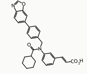 O=C(O)C=Cc1cccc(N(Cc2ccc(-c3ccc4ncoc4c3)cc2)C(=O)C2CCCCC2)c1